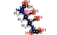 COc1cc2c(cc1S(=O)(=O)O)nc1c(C#N)c(C)c(N=Nc3cc(C)c(N=Nc4cc(C)c(N=Nc5nc6c(S(=O)(=O)O)cc7ccc(S(=O)(=O)O)cc7c6s5)cc4SCCCS(=O)(=O)O)cc3OCCCS(=O)(=O)O)c(O)n12